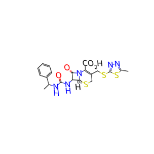 Cc1nnc(SCC2=C(C(=O)O)N3C(=O)C(NC(=O)NC(C)c4ccccc4)[C@@H]3SC2)s1